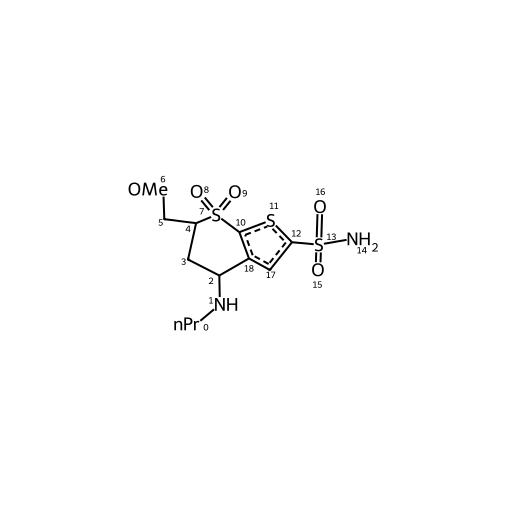 CCCNC1CC(COC)S(=O)(=O)c2sc(S(N)(=O)=O)cc21